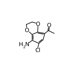 CC(=O)c1cc(Cl)c(N)c2c1OCCO2